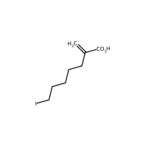 C=C(CCCCCI)C(=O)O